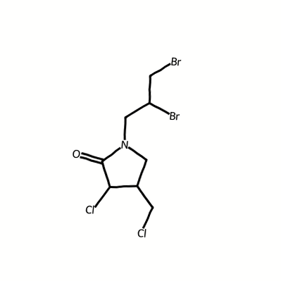 O=C1C(Cl)C(CCl)CN1CC(Br)CBr